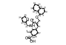 Cc1cc(C=C(COc2cccc3ccccc23)C(=O)NCc2ccco2)ccc1C(=O)O